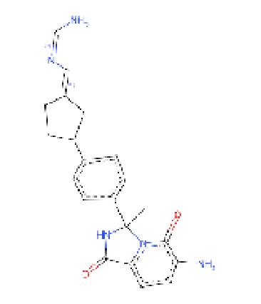 CC1(c2ccc(C3CC/C(=C\N=C/N)C3)cc2)NC(=O)c2ccc(N)c(=O)n21